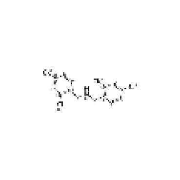 Clc1ccc(CNCc2ccc(Cl)cc2Cl)c(Cl)c1